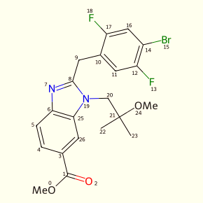 COC(=O)c1ccc2nc(Cc3cc(F)c(Br)cc3F)n(CC(C)(C)OC)c2c1